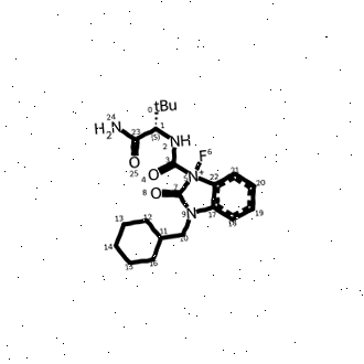 CC(C)(C)[C@H](NC(=O)[N+]1(F)C(=O)N(CC2CCCCC2)c2ccccc21)C(N)=O